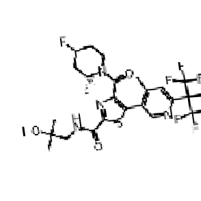 Cc1cc(C(C)(C(F)(F)F)C(F)(F)F)ncc1-c1sc(C(=O)NCC(C)(C)O)nc1C(=O)N1CCC(F)C[C@H]1C